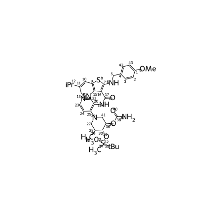 COc1ccc(CNc2sc3cc(C(C)C)cnc3c2C(=O)Nc2cnccc2N2C[C@H](C)[C@@H](O[Si](C)(C)C(C)(C)C)[C@H](OC(N)=O)C2)cc1